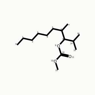 CCCCCCC(C)C(OC(=O)OC)C(C)C